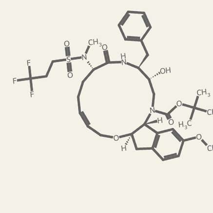 COc1ccc2c(c1)[C@@H]1[C@@H](C2)OCC=CCC[C@H](N(C)S(=O)(=O)CCC(F)(F)F)C(=O)N[C@@H](Cc2ccccc2)[C@H](O)CN1C(=O)OC(C)(C)C